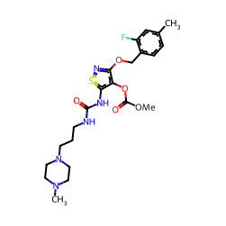 COC(=O)Oc1c(OCc2ccc(C)cc2F)nsc1NC(=O)NCCCN1CCN(C)CC1